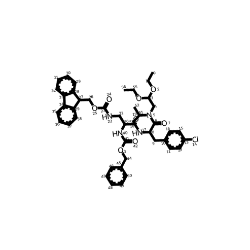 CCOC(CN(C(=O)C(Cc1ccc(Cl)cc1)NC(=O)C(CNC(=O)OCC1c2ccccc2-c2ccccc21)NC(=O)OCc1ccccc1)C(C)C)OCC